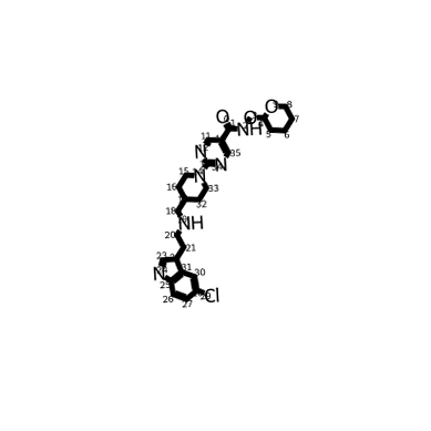 O=C(NOC1CCCCO1)c1cnc(N2CCC(CNCCC3C=Nc4ccc(Cl)cc43)CC2)nc1